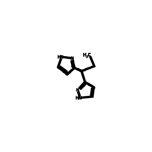 CCC(c1cc[nH]n1)c1cc[nH]n1